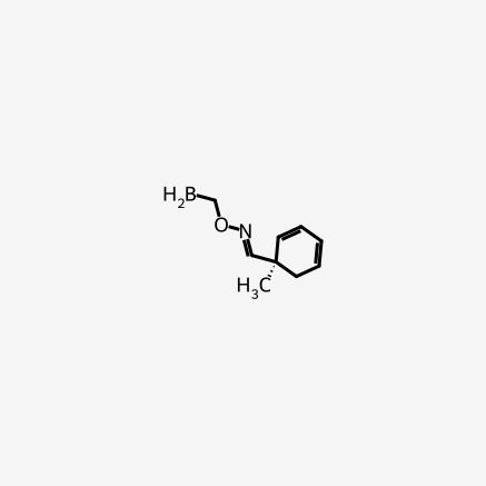 BCON=C[C@@]1(C)C=CC=CC1